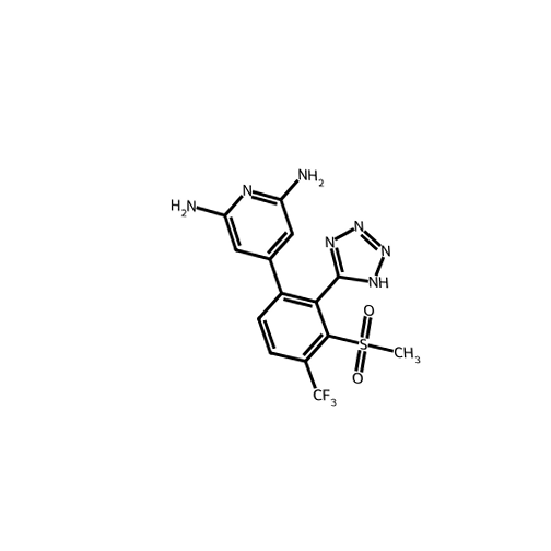 CS(=O)(=O)c1c(C(F)(F)F)ccc(-c2cc(N)nc(N)c2)c1-c1nnn[nH]1